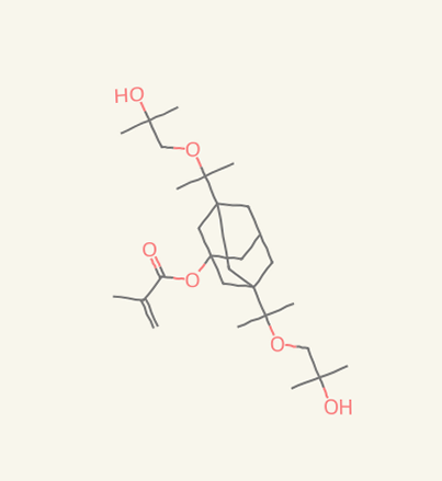 C=C(C)C(=O)OC12CC3CC(C(C)(C)OCC(C)(C)O)(C1)CC(C(C)(C)OCC(C)(C)O)(C3)C2